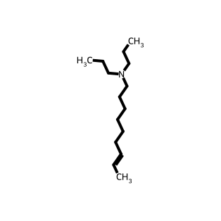 CC=CCCCCCCN(CCC)CCC